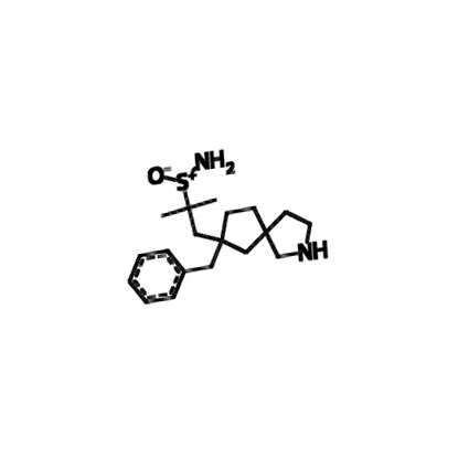 CC(C)(CC1(Cc2ccccc2)CCC2(CCNC2)C1)[S+](N)[O-]